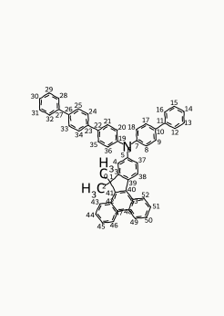 CC1(C)c2cc(N(c3ccc(-c4ccccc4)cc3)c3ccc(-c4ccc(-c5ccccc5)cc4)cc3)ccc2-c2c1c1ccccc1c1ccccc21